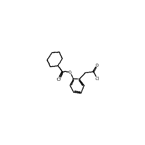 O=C(Cl)Cc1ccccc1OC(=O)C1CCCCC1